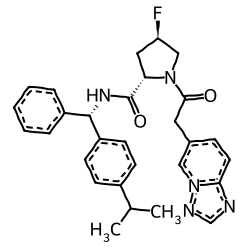 CC(C)c1ccc([C@@H](NC(=O)[C@@H]2C[C@@H](F)CN2C(=O)Cc2ccc3ncnn3c2)c2ccccc2)cc1